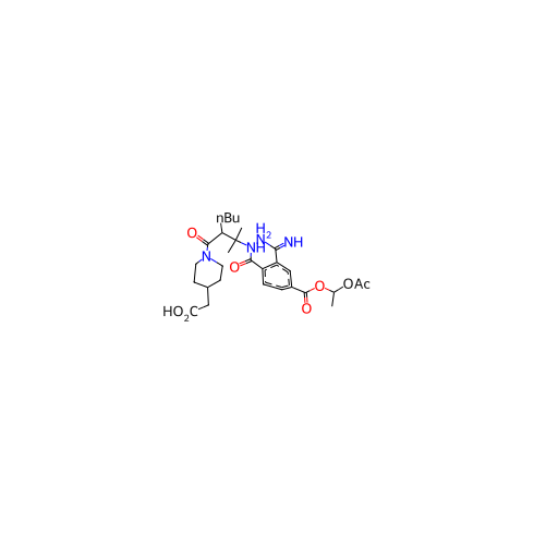 CCCCC(C(=O)N1CCC(CC(=O)O)CC1)C(C)(C)NC(=O)c1ccc(C(=O)OC(C)OC(C)=O)cc1C(=N)N